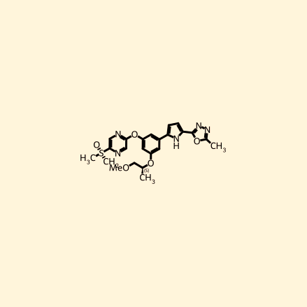 C=S(C)(=O)c1cnc(Oc2cc(O[C@@H](C)COC)cc(-c3ccc(-c4nnc(C)o4)[nH]3)c2)cn1